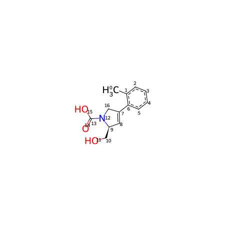 Cc1ccccc1C1=C[C@@H](CO)N(C(=O)O)C1